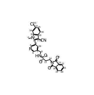 Cn1c(-c2cncc(CNS(=O)(=O)CCN3C(=O)c4ccccc4C3=O)c2)c(C#N)c2ccc(Cl)cc21